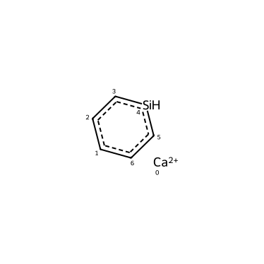 [Ca+2].c1cc[siH]cc1